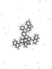 c1ccc(-c2cccc3oc4ccccc4c23)c(-c2ccc(N(c3ccc(-c4cccc5ccccc45)cc3)c3ccc(-c4cccc5ccccc45)c4sc5ccccc5c34)cc2)c1